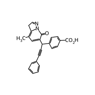 Cc1cc(C(C#Cc2ccccc2)c2ccc(C(=O)O)cc2)c(=O)n2c1CC=N2